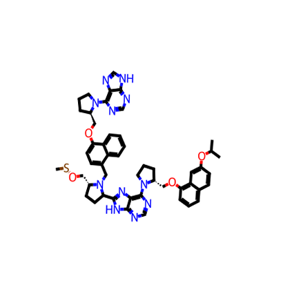 CSOC[C@H]1CCC(c2nc3c(N4CCC[C@@H]4COc4cccc5ccc(OC(C)C)cc45)ncnc3[nH]2)N1Cc1ccc(OC[C@H]2CCCN2c2ncnc3[nH]cnc23)c2ccccc12